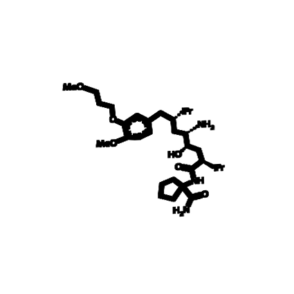 COCCCOc1cc(C[C@@H](C[C@H](N)[C@@H](O)C[C@H](C(=O)NC2(C(N)=O)CCCC2)C(C)C)C(C)C)ccc1OC